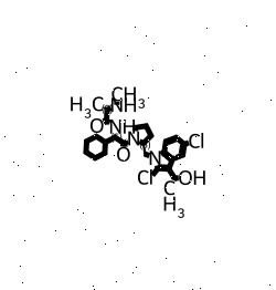 CN[C@@H](C)C(=O)N[C@H](C(=O)N1CCC[C@H]1Cn1c(Cl)c(C(C)O)c2cc(Cl)ccc21)C1CCCCC1